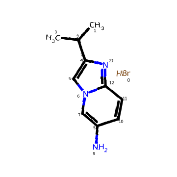 Br.CC(C)c1cn2cc(N)ccc2n1